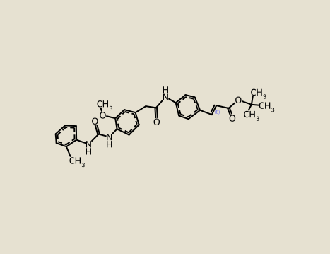 COc1cc(CC(=O)Nc2ccc(/C=C/C(=O)OC(C)(C)C)cc2)ccc1NC(=O)Nc1ccccc1C